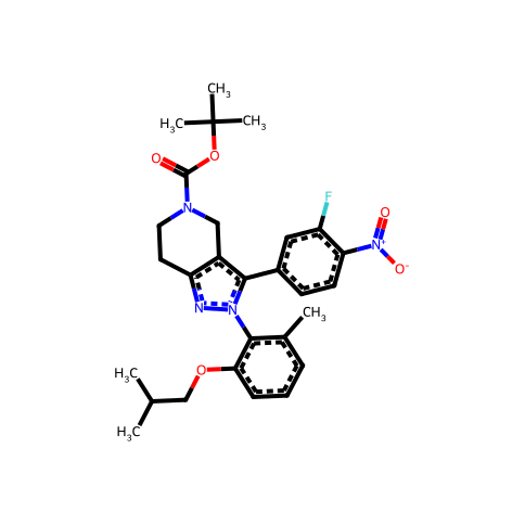 Cc1cccc(OCC(C)C)c1-n1nc2c(c1-c1ccc([N+](=O)[O-])c(F)c1)CN(C(=O)OC(C)(C)C)CC2